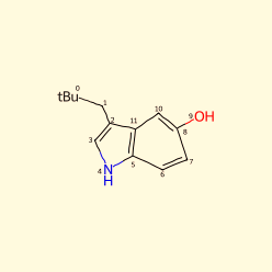 CC(C)(C)Cc1c[nH]c2ccc(O)cc12